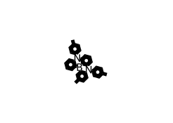 Cc1ccc(N2c3ccccc3B3c4cc(C)ccc4N(c4ccc(C)cc4)c4cccc2c43)cc1